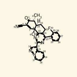 C[C@H]1C(=O)C(C#N)=C[C@@]2(C)c3nc(-c4cnn5ccccc45)nc(-c4ccccc4F)c3CC[C@H]12